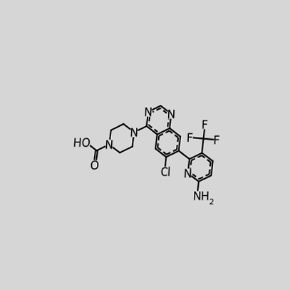 Nc1ccc(C(F)(F)F)c(-c2cc3ncnc(N4CCN(C(=O)O)CC4)c3cc2Cl)n1